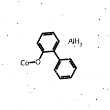 [AlH3].[Co][O]c1ccccc1-c1ccccc1